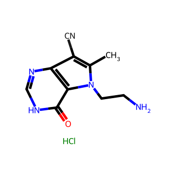 Cc1c(C#N)c2nc[nH]c(=O)c2n1CCN.Cl